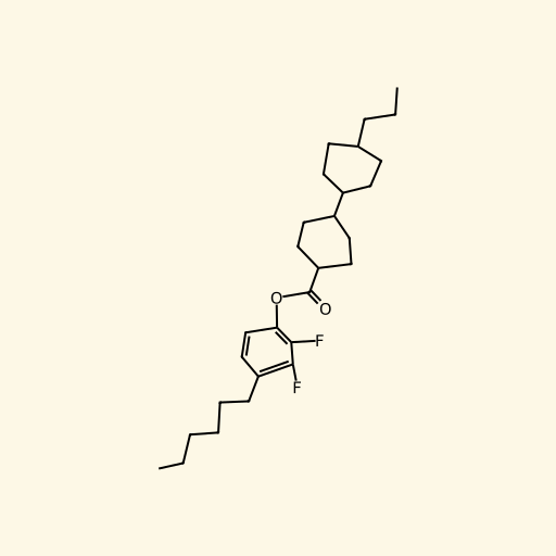 CCCCCCc1ccc(OC(=O)C2CCC(C3CCC(CCC)CC3)CC2)c(F)c1F